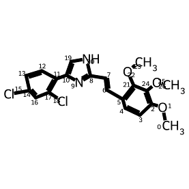 COc1ccc(C=Cc2nc(-c3ccc(Cl)cc3Cl)c[nH]2)c(OC)c1OC